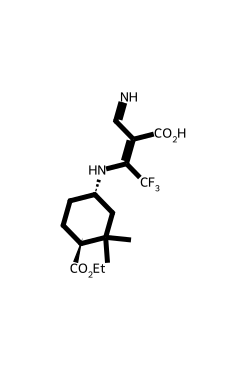 CCOC(=O)[C@H]1CC[C@H](N/C(=C(\C=N)C(=O)O)C(F)(F)F)CC1(C)C